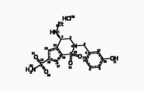 CCN[C@H]1CN(Cc2cccc(O)c2)S(=O)(=O)c2sc(S(N)(=O)=O)cc21.Cl